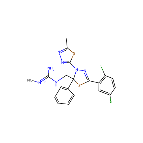 Cc1nnc(N2N=C(c3cc(F)ccc3F)SC2(CN/C(N)=N/C#N)c2ccccc2)s1